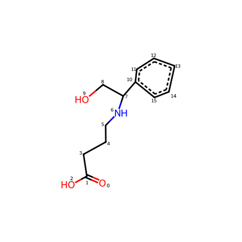 O=C(O)CCCNC(CO)c1ccccc1